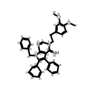 COc1ccc(CCn2cnc3c(c(-c4ccccc4)c(-c4ccccc4)n3Cc3ccccc3)c2=N)cc1OC